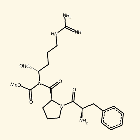 COC(=O)N(C(=O)[C@@H]1CCCN1C(=O)[C@H](N)Cc1ccccc1)[C@H](C=O)CCCNC(=N)N